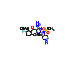 COc1ccc(F)c(OC)c1C(=O)c1cnc(N(C2CCNCC2)S(C)(=O)=O)nc1N